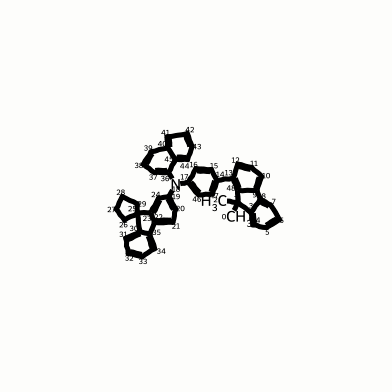 CC1(C)c2ccccc2-c2cccc(-c3ccc(N(c4ccc5c(c4)C4(CCCC4)c4ccccc4-5)c4cccc5ccccc45)cc3)c21